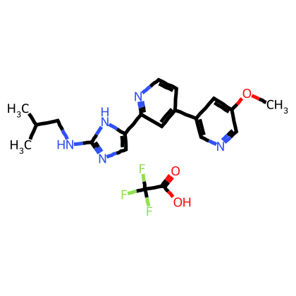 COc1cncc(-c2ccnc(-c3cnc(NCC(C)C)[nH]3)c2)c1.O=C(O)C(F)(F)F